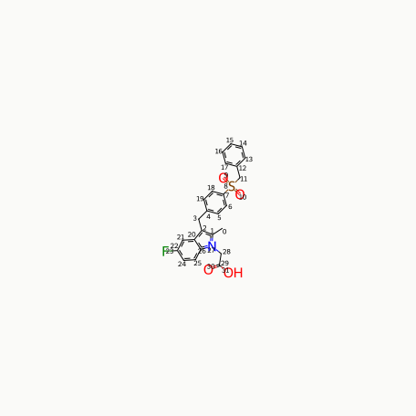 Cc1c(Cc2ccc(S(=O)(=O)Cc3ccccc3)cc2)c2cc(F)ccc2n1CC(=O)O